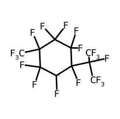 F[C]1C(F)(F)C(F)(C(F)(F)F)C(F)(F)C(F)(F)C1(F)C(F)(C(F)(F)F)C(F)(F)F